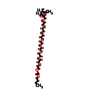 CCCCOCCOCCOCCOCCOCCOCCOCCOCCOCCOCC(=O)OC(C)(C)C